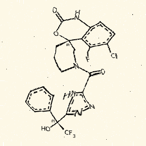 O=C1Nc2ccc(Cl)c(F)c2[C@@]2(CCCN(C(=O)c3nnc([C@](O)(c4ccccc4)C(F)(F)F)[nH]3)C2)O1